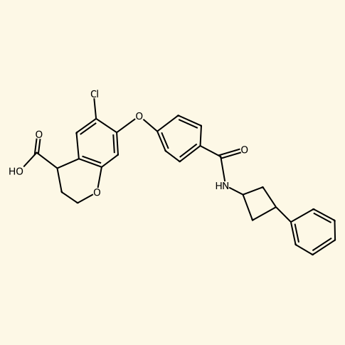 O=C(NC1CC(c2ccccc2)C1)c1ccc(Oc2cc3c(cc2Cl)C(C(=O)O)CCO3)cc1